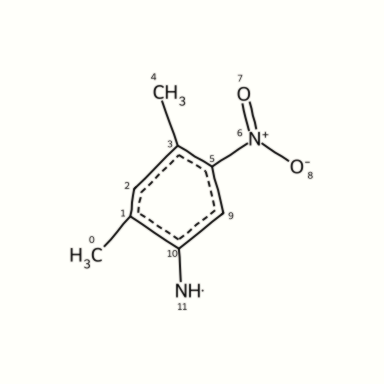 Cc1cc(C)c([N+](=O)[O-])cc1[NH]